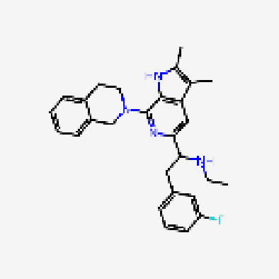 CCNC(Cc1cccc(F)c1)c1cc2c(C)c(C)[nH]c2c(N2CCc3ccccc3C2)n1